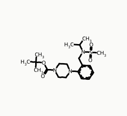 CC(C)N(Cc1ccccc1N1CCN(C(=O)OC(C)(C)C)CC1)S(C)(=O)=O